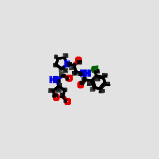 O=C1C[C@H](NC(=O)[C@@H]2CCCN2C(=O)CNC(=O)c2ccccc2Cl)CO1